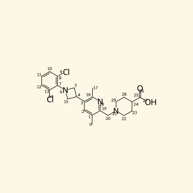 Cc1cc(C2CN(c3c(Cl)cccc3Cl)C2)c(C)nc1CN1CCC(C(=O)O)CC1